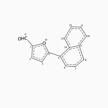 O=Cc1ccc(-c2cccc3ccccc23)o1